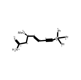 CO[C@@H](/C=C/C#C[Si](C(C)C)(C(C)C)C(C)C)CC(N)=S